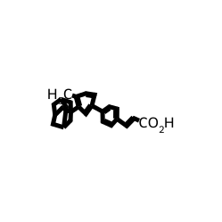 Cc1ccc(-c2ccc(/C=C/C(=O)O)cc2)cc1C12CC3CC(CC(C3)C1)C2